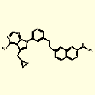 CNc1ccc2ccc(OCc3cncc(-n4cc(CC5CC5)c5c(N)ncnc54)c3)cc2n1